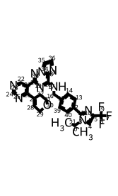 CC(C)n1cc(C(F)(F)F)nc1-c1ccc(CNc2nc(-c3cncnc3C3=CCOCC3)nn3ccnc23)cc1